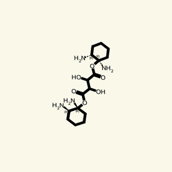 N[C@@H]1CCCC[C@@]1(N)OC(=O)C(O)C(O)C(=O)O[C@]1(N)CCCC[C@H]1N